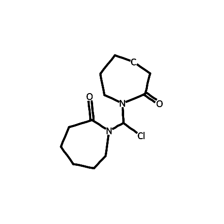 O=C1CCCCCN1C(Cl)N1CCCCCC1=O